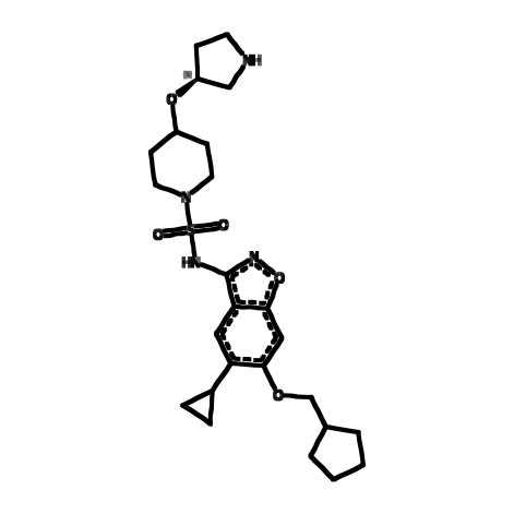 O=S(=O)(Nc1noc2cc(OCC3CCCC3)c(C3CC3)cc12)N1CCC(O[C@H]2CCNC2)CC1